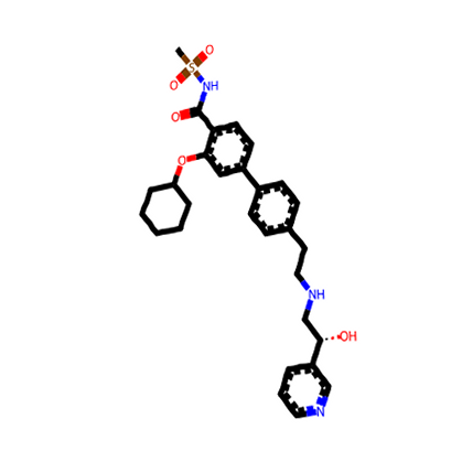 CS(=O)(=O)NC(=O)c1ccc(-c2ccc(CCNC[C@H](O)c3cccnc3)cc2)cc1OC1CCCCC1